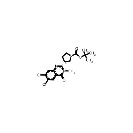 Cn1c([C@@H]2CCN(C(=O)OC(C)(C)C)C2)nc2cc(Cl)c(Cl)cc2c1=O